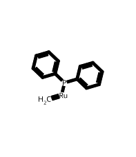 [CH2]=[Ru][P](c1ccccc1)c1ccccc1